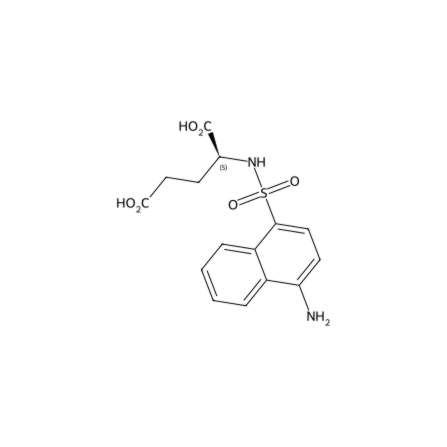 Nc1ccc(S(=O)(=O)N[C@@H](CCC(=O)O)C(=O)O)c2ccccc12